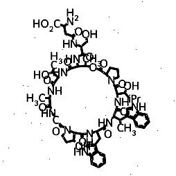 CC1NC(=O)C(C(C)O)NC(=O)C(NC(=O)C(CO)NC(=O)CC(N)C(=O)O)C(C)OC(=O)C2CCCN2C(=O)C(C(O)C(C)C)NC(=O)C(C(C)c2c[nH]c3ccccc23)NC(=O)C(Cc2c[nH]c3ccccc23)NC(=O)C2C(O)CCN2C(=O)CNC1=O